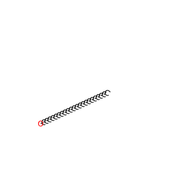 C=C=C=C=C=C=C=C=C=C=C=C=C=C=C=C=C=C=C=C=C=C=C=O